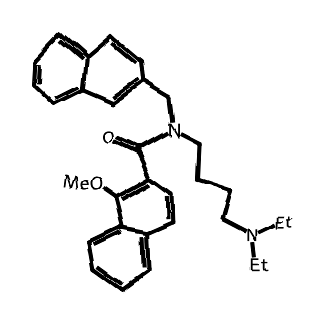 CCN(CC)CCCCN(Cc1ccc2ccccc2c1)C(=O)c1ccc2ccccc2c1OC